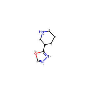 c1nnc(C2CCCNC2)o1